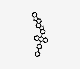 C1=CCCC(c2ccc(-c3c4ccccc4c(-c4ccc5sc6c(ccc7c6ccc6c8ccccc8oc67)c5c4)c4ccccc34)cc2)=C1